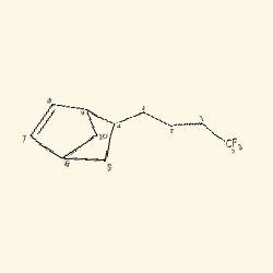 FC(F)(F)CCCC1CC2C=CC1C2